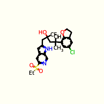 CCS(=O)(=O)c1cc2cc(CC(O)(CC(C)(C)c3cc(Cl)cc4c3OCC4)C(F)(F)F)[nH]c2cn1